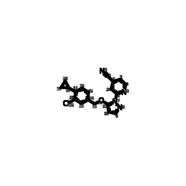 N#Cc1ccnc(-n2nccc2OCc2ccc(C3CC3)c(Cl)c2)c1